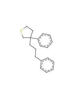 c1ccc(CCCC2(c3ccccc3)CCSC2)cc1